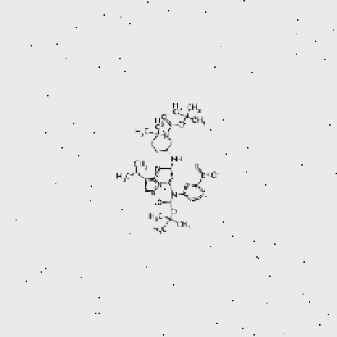 CC(C)c1cnn2c(N(C(=O)OC(C)(C)C)c3cccc([N+](=O)[O-])c3)cc(N[C@@H]3CCC(C)(C)N(C(=O)OC(C)(C)C)C3)nc12